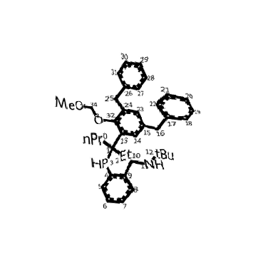 CCCC(CC)(Pc1ccccc1CNC(C)(C)C)c1cc(Cc2ccccc2)cc(Cc2ccccc2)c1OCOC